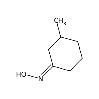 CC1CCC/C(=N/O)C1